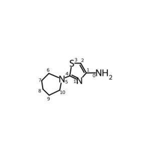 Nc1csc(N2CCCCC2)n1